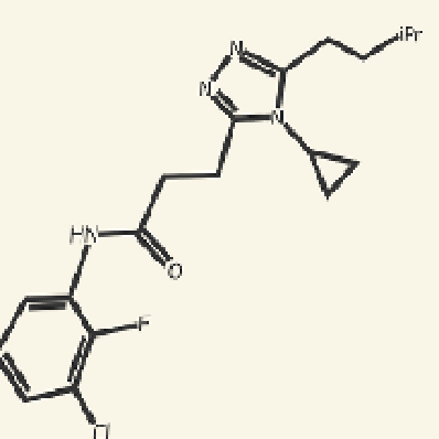 CC(C)CCc1nnc(CCC(=O)Nc2cccc(Cl)c2F)n1C1CC1